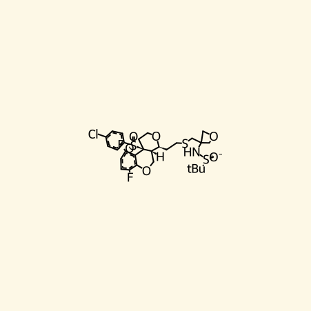 CC(C)(C)[S@@+]([O-])NC1(CSCC[C@@H]2OCC[C@@]3(S(=O)(=O)c4ccc(Cl)cc4)c4c(F)ccc(F)c4OC[C@@H]23)COC1